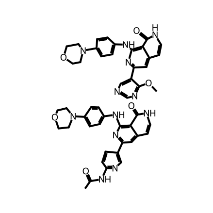 CC(=O)Nc1ccc(-c2cc3cc[nH]c(=O)c3c(Nc3ccc(N4CCOCC4)cc3)n2)cn1.COc1ncncc1-c1cc2cc[nH]c(=O)c2c(Nc2ccc(N3CCOCC3)cc2)n1